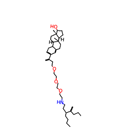 C=C(CCOCCOCCOCCNCCC(CCCC)C(=C)CCC)C1=CCC2C(=C1)CCC1(C)[C@H]2CC[C@]2(C)C(O)CC[C@@H]12